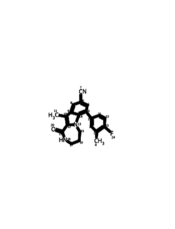 Cc1cc(-c2cc(C#N)cc3c(C)c4n(c23)CCCNC4=O)ccc1F